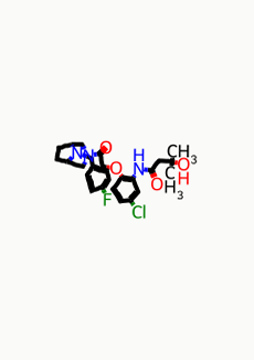 CC(C)(O)CC(=O)Nc1cc(Cl)ccc1OCC(=O)N1CC2CCC(C1)N2Cc1ccc(F)cc1